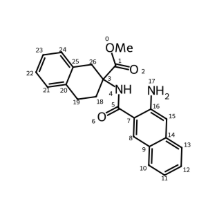 COC(=O)C1(NC(=O)c2cc3ccccc3cc2N)CCc2ccccc2C1